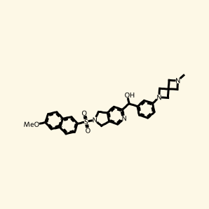 COc1ccc2cc(S(=O)(=O)N3Cc4cnc(C(O)c5cccc(N6CC7(CN(C)C7)C6)c5)cc4C3)ccc2c1